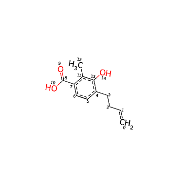 C=CCCc1ccc(C(=O)O)c(C)c1O